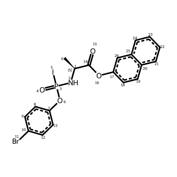 C[C@H](NP(=O)(I)Oc1ccc(Br)cc1)C(=O)Oc1ccc2ccccc2c1